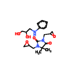 CC1(C)C(=O)N(CC2CO2)C(=O)N1CC1CO1.OCC(O)CNc1ccccc1